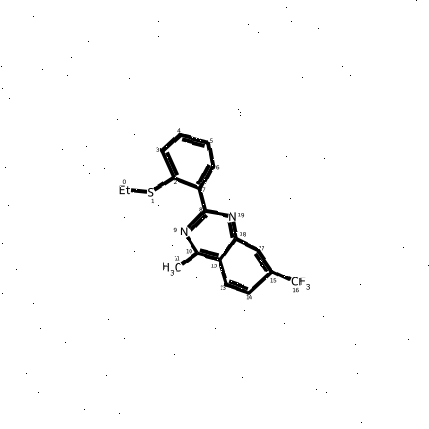 CCSc1ccccc1-c1nc(C)c2ccc(C(F)(F)F)cc2n1